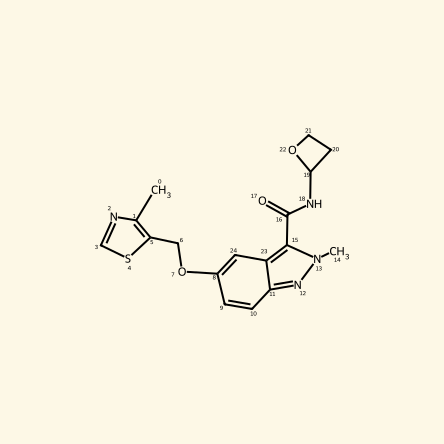 Cc1ncsc1COc1ccc2nn(C)c(C(=O)NC3CCO3)c2c1